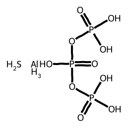 O=P(O)(O)OP(=O)(O)OP(=O)(O)O.S.[AlH3]